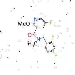 COc1ncc(F)cc1C(=O)N(C)Cc1ccc(F)cc1F